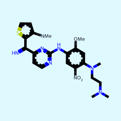 CNc1ccsc1C(=N)c1ccnc(Nc2cc([N+](=O)[O-])c(N(C)CCN(C)C)cc2OC)n1